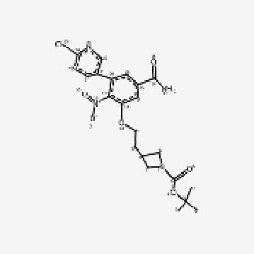 CC(C)(C)OC(=O)N1CC(CCOc2cc(C(N)=O)cc(-c3cnc(Cl)nc3)c2[N+](=O)[O-])C1